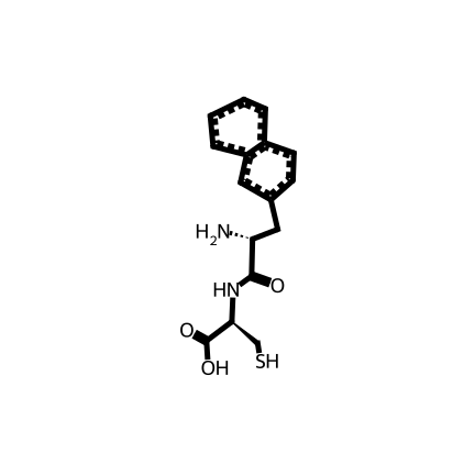 N[C@H](Cc1ccc2ccccc2c1)C(=O)N[C@@H](CS)C(=O)O